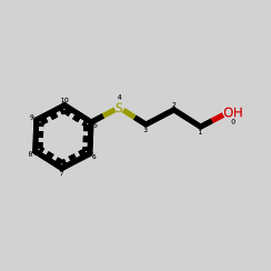 OCCCSc1cc[c]cc1